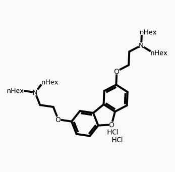 CCCCCCN(CCCCCC)CCOc1ccc2oc3ccc(OCCN(CCCCCC)CCCCCC)cc3c2c1.Cl.Cl